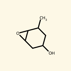 CC1CC(O)CC2OC12